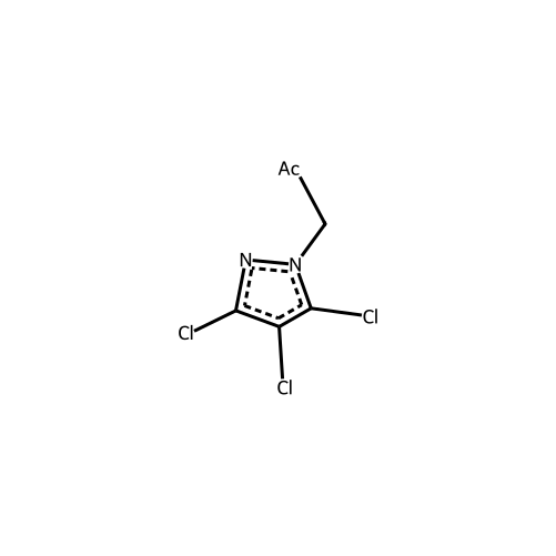 CC(=O)Cn1nc(Cl)c(Cl)c1Cl